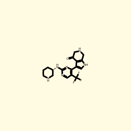 O=C1CNCc2[nH]cc(-c3nc(N[C@H]4CCCNC4)ncc3C(F)(F)F)c21